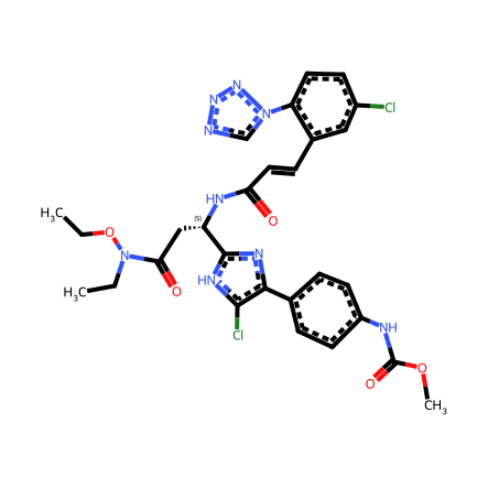 CCON(CC)C(=O)C[C@H](NC(=O)C=Cc1cc(Cl)ccc1-n1cnnn1)c1nc(-c2ccc(NC(=O)OC)cc2)c(Cl)[nH]1